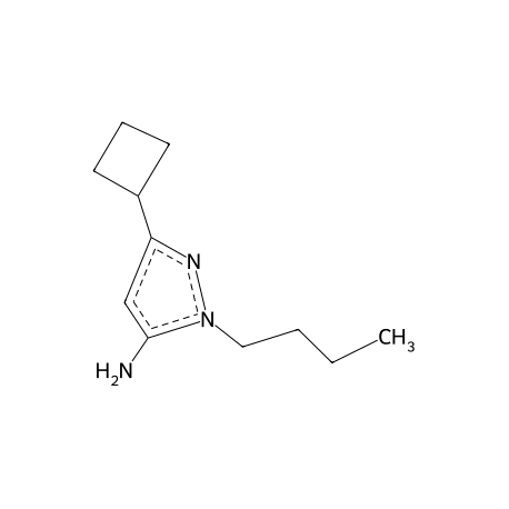 CCCCn1nc(C2CCC2)cc1N